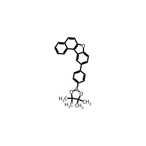 CC1(C)OB(c2ccc(-c3ccc4oc5ccc6ccccc6c5c4c3)cc2)OC1(C)C